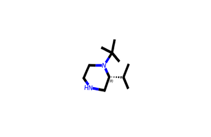 CC(C)[C@@H]1CNCCN1C(C)(C)C